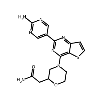 NC(=O)CC1CN(c2nc(-c3cnc(N)nc3)nc3ccsc23)CCO1